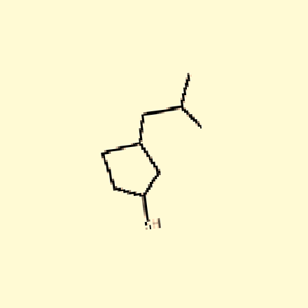 CC(C)CC1CCC(S)C1